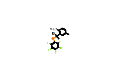 CCC(C)(Pc1c(F)c(F)c(F)c(F)c1F)c1cc(C)ccc1OC